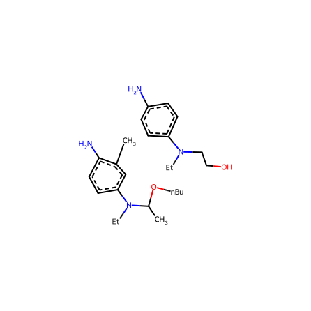 CCCCOC(C)N(CC)c1ccc(N)c(C)c1.CCN(CCO)c1ccc(N)cc1